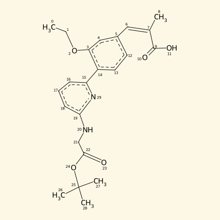 CCOc1cc(C=C(C)C(=O)O)ccc1-c1cccc(NCC(=O)OC(C)(C)C)n1